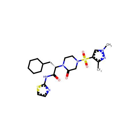 Cn1cc(S(=O)(=O)N2CCN([C@@H](CC3CCCCC3)C(=O)Nc3nccs3)C(=O)C2)c(C(F)(F)F)n1